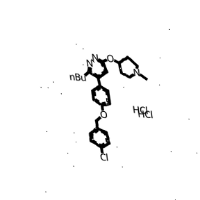 CCCCc1nnc(OC2CCN(C)CC2)cc1-c1ccc(OCc2ccc(Cl)cc2)cc1.Cl.Cl